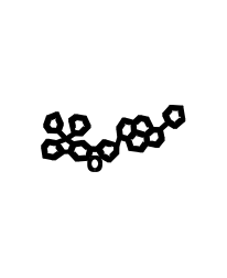 c1ccc(-c2ccc3ccc4c(-c5ccc6oc7cc8c(cc7c6c5)C(c5ccccc5)(c5ccccc5)c5ccccc5-8)ccc5ccc2c3c54)cc1